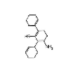 NC1=C(C2C=CCCC2)C(S)=C(C2=CCCCC2)CC1